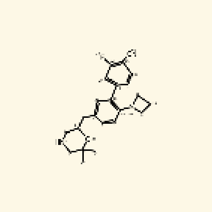 CC1(C)CNCC(Cc2ccc(N3CCC3)c(-c3ccc(C#N)c(F)c3)c2)O1